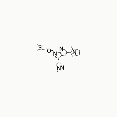 CC1C(c2cnc3c(c2)C(c2cnn(C)c2)CN3COCC[Si](C)(C)C)CC2CCC1N2C